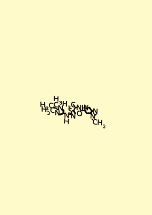 CCn1cnc2cnc(C(=O)NC(C)c3cnc(Nc4cnc(C(C)(C)C)nc4)s3)cc21